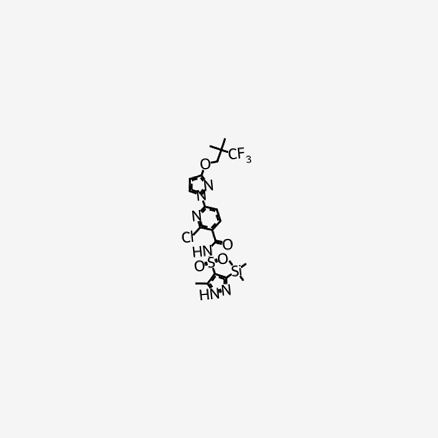 Cc1[nH]nc([Si](C)(C)C)c1S(=O)(=O)NC(=O)c1ccc(-n2ccc(OCC(C)(C)C(F)(F)F)n2)nc1Cl